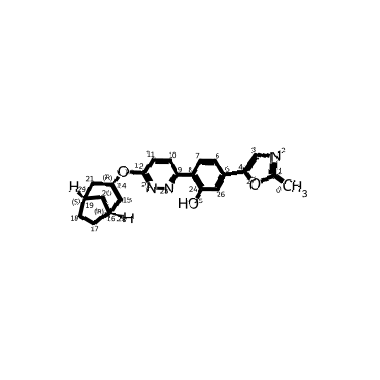 Cc1ncc(-c2ccc(-c3ccc(O[C@H]4C[C@@H]5CC[C@@H](C5)C4)nn3)c(O)c2)o1